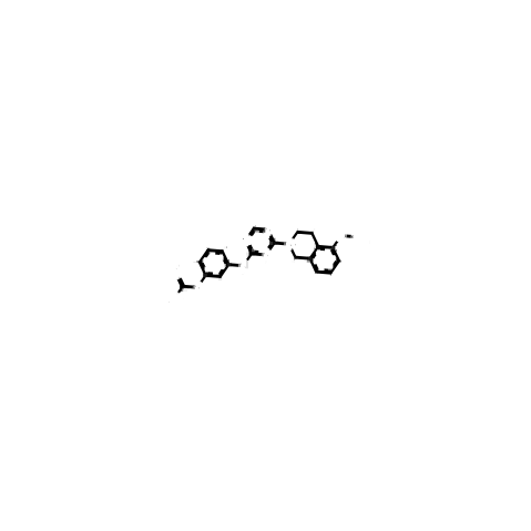 COc1cccc2c1CCN(c1ncnc(Nc3cccc(NC(C)=O)c3)n1)C2